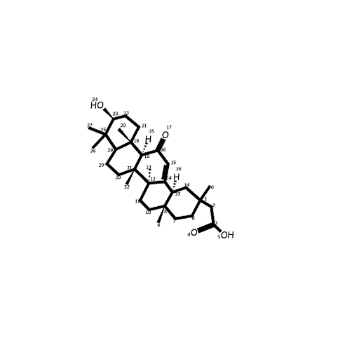 CC1(CC(=O)O)CC[C@]2(C)CC[C@]3(C)C(=CC(=O)[C@@H]4[C@@]5(C)CC[C@H](O)C(C)(C)C5CC[C@]43C)[C@H]2C1